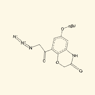 CCCCOc1cc2c(c(C(=O)CN=[N+]=[N-])c1)OCC(=O)N2